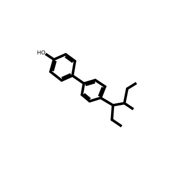 CCC(C)C(CC)c1ccc(-c2ccc(O)cc2)cc1